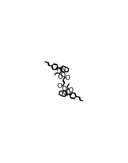 C/C=C/c1ccc(C2CC3CCC(OC(=O)/C=C/C(=O)OC45CCC(CC(c6ccc(/C=C/C)cc6)C4C(=O)CC)N5)(N3)C2C(=O)CC)cc1